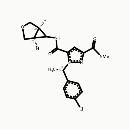 CNC(=O)c1cc(C(=O)NC2[C@H]3COC[C@@H]23)n([C@@H](C)c2ccc(Cl)cc2)n1